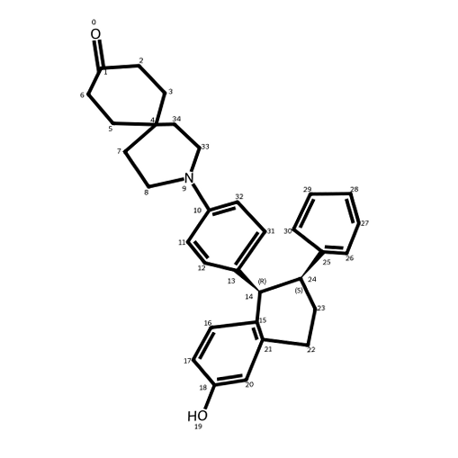 O=C1CCC2(CC1)CCN(c1ccc([C@@H]3c4ccc(O)cc4CC[C@@H]3c3ccccc3)cc1)CC2